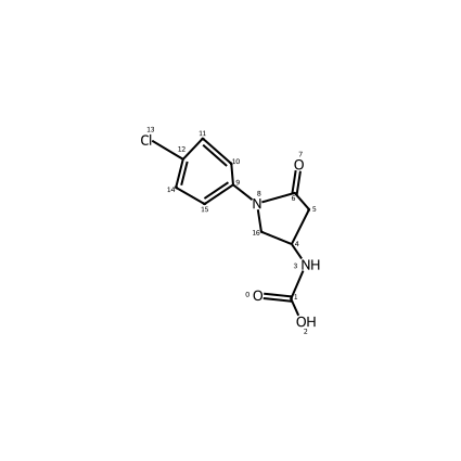 O=C(O)NC1CC(=O)N(c2ccc(Cl)cc2)C1